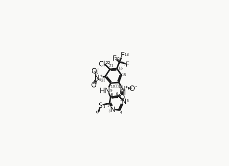 CSc1ncnc(Cl)c1Nc1c([N+](=O)[O-])cc(C(F)(F)F)c(Cl)c1[N+](=O)[O-]